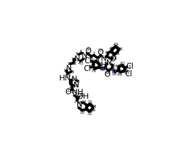 O=C(CCCC(=O)N1CCN(CCCN2CC(Nc3cc(C(=O)NC[C@@H](O)CN4CCc5ccccc5C4)ncn3)C2)CC1)NC(Cc1ccccc1)C(=O)N1C/C(=C\c2ccc(Cl)c(Cl)c2)C(=O)/C(=C/c2ccc(Cl)c(Cl)c2)C1